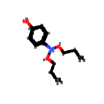 CCCON(OCCC)c1ccc(O)cc1